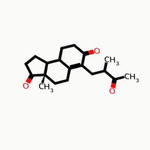 CC(=O)C(C)CC1=C2CC[C@]3(C)C(=O)CCC3C2CCC1=O